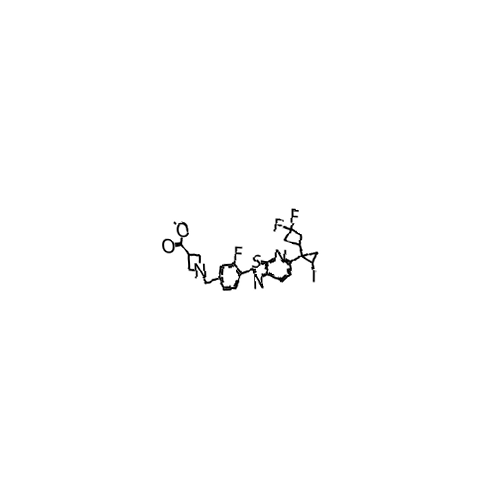 COC(=O)C1CN(Cc2ccc(-c3nc4ccc(C5(C6CC(F)(F)C6)CC5I)nc4s3)c(F)c2)C1